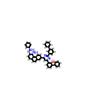 N=C1/C(=N\Nc2ccccc2)C=Cc2ccc3cc(-c4cc(-c5cccc6c5oc5ccccc56)nc(-c5cccc(-c6ccccc6)c5)n4)ccc3c21